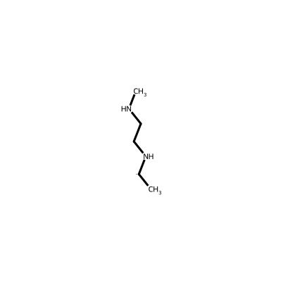 C[CH]NCCNC